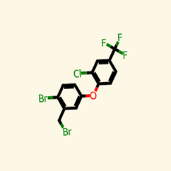 FC(F)(F)c1ccc(Oc2ccc(Br)c(CBr)c2)c(Cl)c1